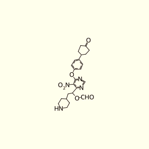 O=COC(CC1CCNCC1)c1ncnc(Oc2ccc(C3CCC(=O)CC3)cc2)c1[N+](=O)[O-]